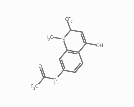 CN1c2cc(NC(=O)C(F)(F)F)ccc2C(O)=CC1C(F)(F)F